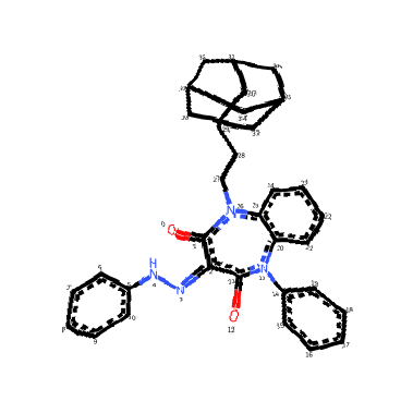 O=c1c(=NNc2ccccc2)c(=O)n(-c2ccccc2)c2ccccc2n1CCC12CC3CC(CC(C3)C1)C2